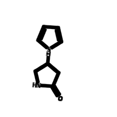 O=C1CC([SH]2C=CC=C2)CN1